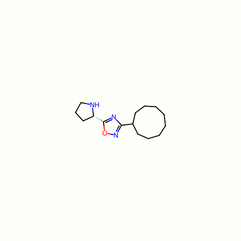 C1CCCCC(c2noc([C@@H]3CCCN3)n2)CCC1